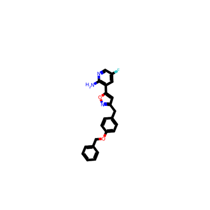 Nc1ncc(F)cc1-c1cc(Cc2ccc(OCc3ccccc3)cc2)no1